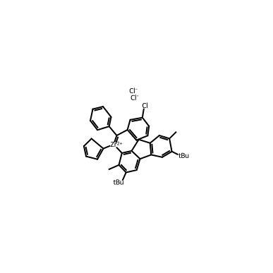 Cc1cc2c(cc1C(C)(C)C)-c1cc(C(C)(C)C)c(C)[c](/[Zr+2]([C]3=CC=CC3)=[C](/c3ccccc3)c3cccc(Cl)c3)c1C2.[Cl-].[Cl-]